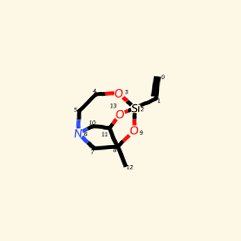 C=C[Si]12OCCN(CCO1)CC(C)O2